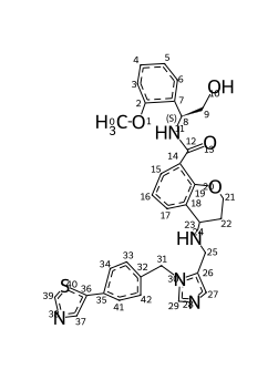 COc1ccccc1[C@@H](CO)NC(=O)c1cccc2c1OCCC2NCc1cncn1Cc1ccc(-c2cncs2)cc1